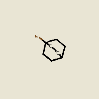 BrC12CCC(CC1)CC2